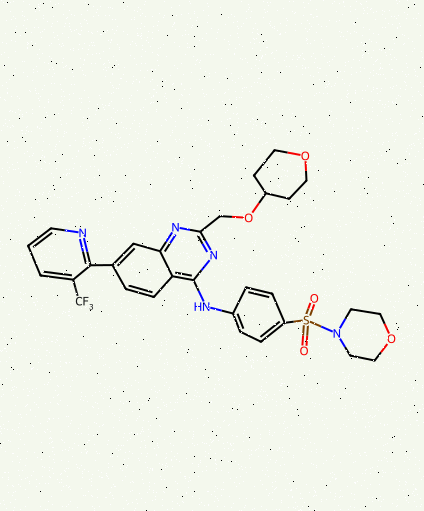 O=S(=O)(c1ccc(Nc2nc(COC3CCOCC3)nc3cc(-c4ncccc4C(F)(F)F)ccc23)cc1)N1CCOCC1